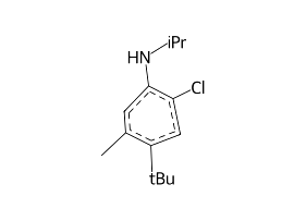 Cc1cc(NC(C)C)c(Cl)cc1C(C)(C)C